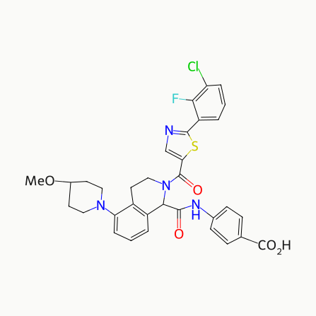 COC1CCN(c2cccc3c2CCN(C(=O)c2cnc(-c4cccc(Cl)c4F)s2)C3C(=O)Nc2ccc(C(=O)O)cc2)CC1